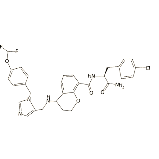 NC(=O)[C@H](Cc1ccc(Cl)cc1)NC(=O)c1cccc2c1OCCC2NCc1cncn1Cc1ccc(OC(F)F)cc1